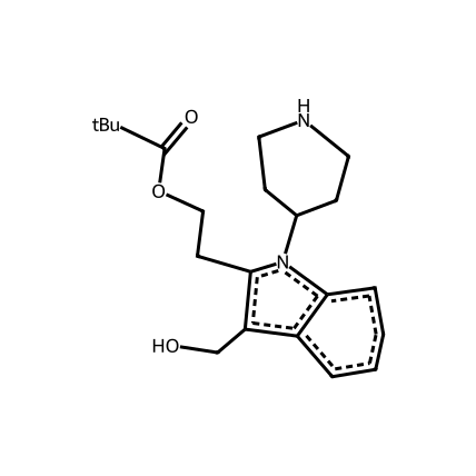 CC(C)(C)C(=O)OCCc1c(CO)c2ccccc2n1C1CCNCC1